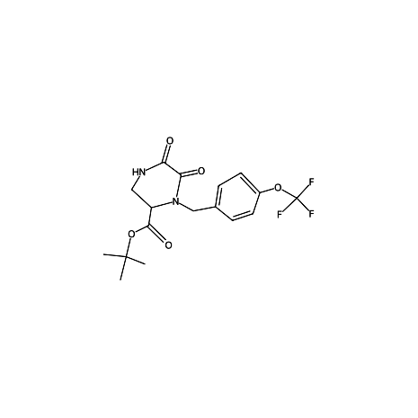 CC(C)(C)OC(=O)C1CNC(=O)C(=O)N1Cc1ccc(OC(F)(F)F)cc1